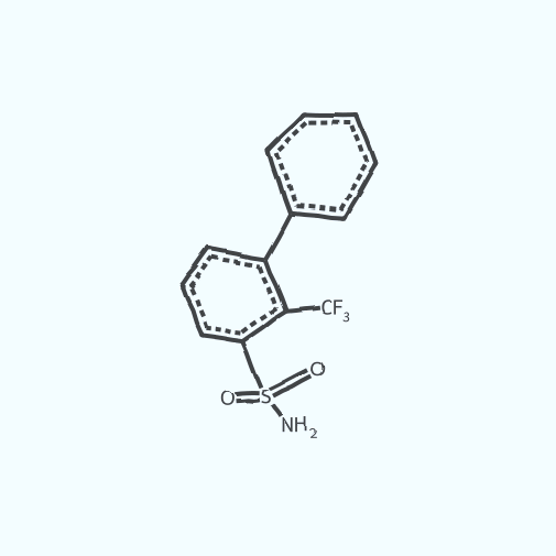 NS(=O)(=O)c1cccc(-c2ccccc2)c1C(F)(F)F